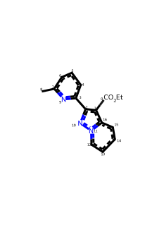 CCOC(=O)c1c(-c2cccc(C)n2)nn2ccccc12